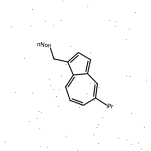 CCCCCCCCCCc1ccc2cc(C(C)C)cccc1-2